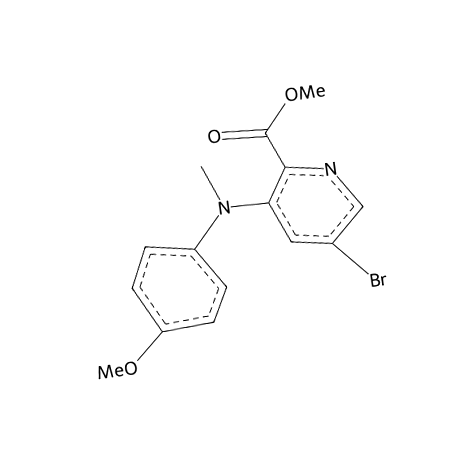 COC(=O)c1ncc(Br)cc1N(C)c1ccc(OC)cc1